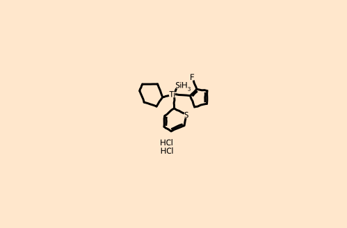 Cl.Cl.FC1=[C]([Ti]([SiH3])([CH]2CCCCC2)[CH]2C=CC=CS2)CC=C1